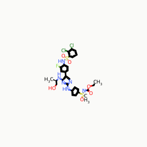 CCOC(=O)N=S(C)(=O)c1ccc(Nc2ncc(-c3ccc(NS(=O)(=O)c4cccc(Cl)c4Cl)c(F)c3)c(N[C@H](C)CO)n2)cc1